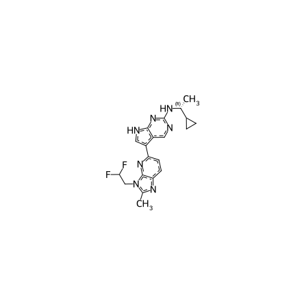 Cc1nc2ccc(-c3c[nH]c4nc(N[C@H](C)C5CC5)ncc34)nc2n1CC(F)F